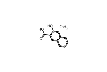 O=C(O)c1cc2ccccc2cc1O.[CaH2]